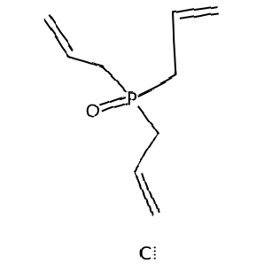 C=CCP(=O)(CC=C)CC=C.[C]